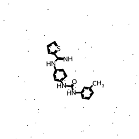 Cc1cccc(NC(=O)Nc2ccc(NC(=N)c3cccs3)cc2)c1